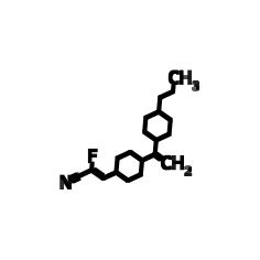 C=C(C1CCC(C=C(F)C#N)CC1)C1CCC(CCC)CC1